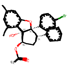 CCC(=O)O[C@@H]1C[C@@H](c2ccccc2)[C@]2(c3ccc(Br)cc3)Oc3cc(C)cc(C)c3[C@]12O